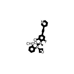 CN(C(=O)N(c1ccccc1C=O)C1COC1)c1c(F)cc(C#Cc2cccnc2)cc1Cl